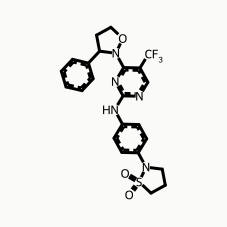 O=S1(=O)CCCN1c1ccc(Nc2ncc(C(F)(F)F)c(N3OCCC3c3ccccc3)n2)cc1